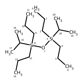 CCC[Si](CCC)(O[Si](CCC)(CCC)C(C)C)C(C)C